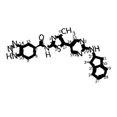 Cc1nc(NC(=O)[C@H]2CCc3[nH]nnc3C2)sc1-c1cnc(NC2Cc3ccccc3C2)nc1